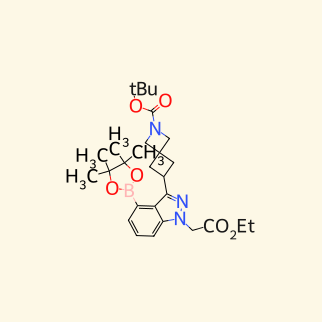 CCOC(=O)Cn1nc(C2CC3(C2)CN(C(=O)OC(C)(C)C)C3)c2c(B3OC(C)(C)C(C)(C)O3)cccc21